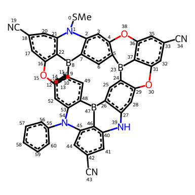 CSN1c2cc3c(cc2B2c4ccccc4Oc4cc(C#N)cc1c42)B1c2cc4c(cc2Oc2cc(C#N)cc(c21)O3)Nc1cc(C#N)cc2c1B4c1ccccc1N2c1ccccc1